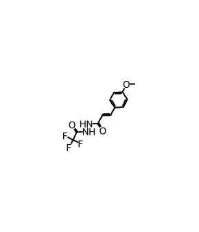 COc1ccc(C=CC(=O)NNC(=O)C(F)(F)F)cc1